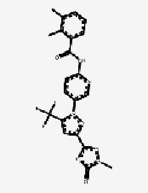 Cc1cccc(C(=O)Nc2ccc(-n3nc(-c4nn(C)c(=O)o4)cc3C(F)(F)F)cn2)c1C